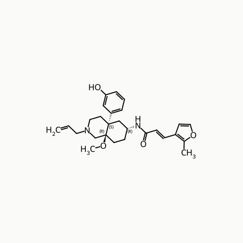 C=CCN1CC[C@@]2(c3cccc(O)c3)C[C@H](NC(=O)C=Cc3ccoc3C)CC[C@]2(OC)C1